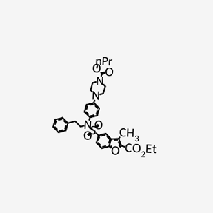 CCCOC(=O)N1CCN(c2ccc(N(CCc3ccccc3)S(=O)(=O)c3ccc4oc(C(=O)OCC)c(C)c4c3)cc2)CC1